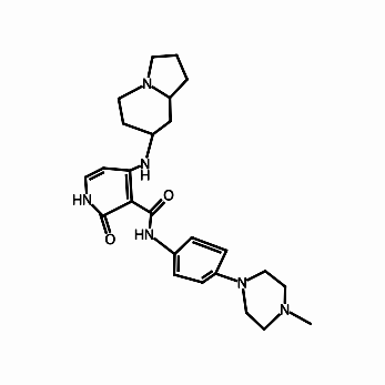 CN1CCN(c2ccc(NC(=O)c3c(NC4CCN5CCCC5C4)cc[nH]c3=O)cc2)CC1